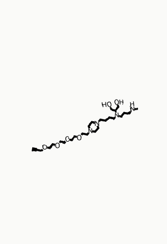 C#CCOCCOCCOCCOCCN1CCN(CCCCN(CCCNC)C(CO)CO)CC1